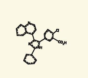 O=C(O)c1cc(-c2[nH]c(-c3ccccc3)nc2-c2ccnc3ccccc23)ccc1Cl